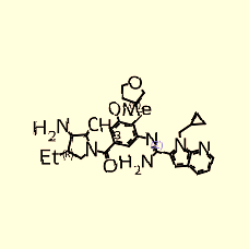 CC[C@@H]1CN(C(=O)c2cc(/N=C(\N)c3cc4cccnc4n3CC3CC3)c(C[C@@H]3CCOC3)c(OC)c2)C(C)C1N